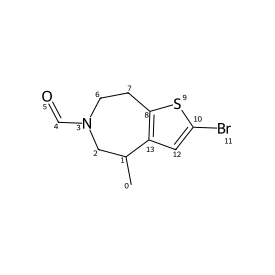 CC1CN(C=O)CCc2sc(Br)cc21